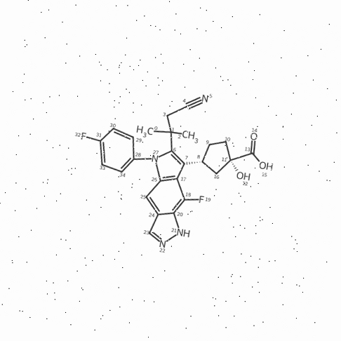 CC(C)(CC#N)c1c([C@@H]2CC[C@@](O)(C(=O)O)C2)c2c(F)c3[nH]ncc3cc2n1-c1ccc(F)cc1